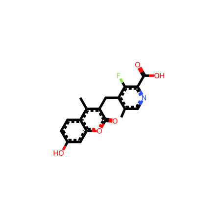 Cc1cnc(C(=O)O)c(F)c1Cc1c(C)c2ccc(O)cc2oc1=O